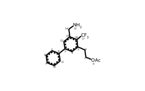 CC(=O)OCCc1cc(-c2ccccc2)cc(CN)c1C(F)(F)F